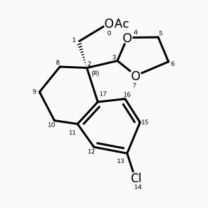 CC(=O)OC[C@@]1(C2OCCO2)CCCc2cc(Cl)ccc21